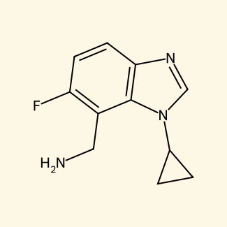 NCc1c(F)ccc2ncn(C3CC3)c12